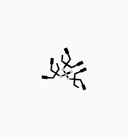 C#CCC(CC)(CC#C)OP(=O)(OC(CC)(CC#C)CC#C)OC(CC)(CC#C)CC#C